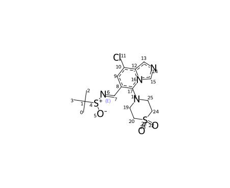 CC(C)(C)[S+]([O-])/N=C/c1cc(Cl)c2cncn2c1N1CCS(=O)(=O)CC1